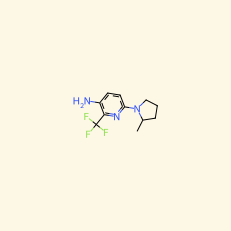 CC1CCCN1c1ccc(N)c(C(F)(F)F)n1